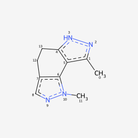 Cc1n[nH]c2c1-c1c(cnn1C)CC2